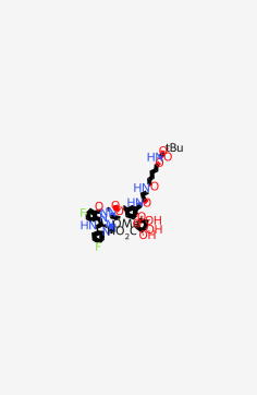 COCCN(Cn1nc2c3c(cc(F)cc3c1=O)N[C@H](c1ccc(F)cc1)[C@H]2c1ncnn1C)C(=O)OCc1ccc(O[C@@H]2O[C@H](C(=O)O)[C@@H](O)[C@H](O)[C@H]2O)c(CNC(=O)CCNC(=O)CCCCCONC(=O)OC(C)(C)C)c1